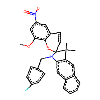 COc1cc([N+](=O)[O-])cc2c1OC1(C=C2)N(Cc2ccc(F)cc2)c2cc3ccccc3cc2C1(C)C